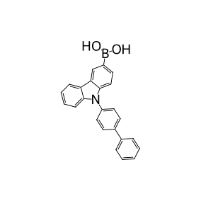 OB(O)c1ccc2c(c1)c1ccccc1n2-c1ccc(-c2ccccc2)cc1